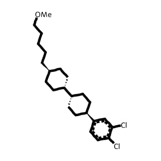 COCCCCC[C@H]1CC[C@H]([C@H]2CC[C@H](c3ccc(Cl)c(Cl)c3)CC2)CC1